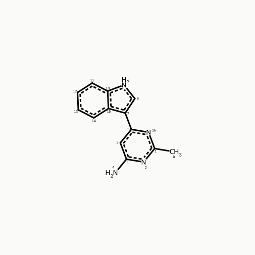 Cc1nc(N)cc(-c2c[nH]c3ccccc23)n1